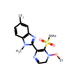 CCON1CC=NC(c2nc3cc(C(F)(F)F)ccc3n2C)=C1S(=O)(=O)NC